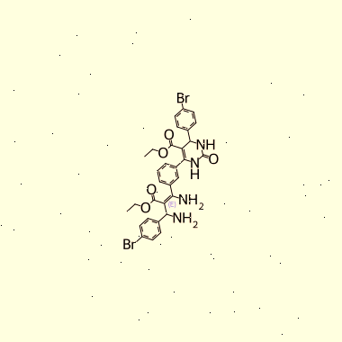 CCOC(=O)C1=C(c2cccc(/C(N)=C(\C(=O)OCC)C(N)c3ccc(Br)cc3)c2)NC(=O)NC1c1ccc(Br)cc1